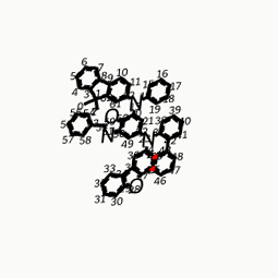 CC1(C)c2ccccc2-c2ccc(N(c3ccccc3)c3cc(N(c4ccc5oc6ccccc6c5c4)c4ccccc4-c4ccccc4)cc4nc(-c5ccccc5)oc34)cc21